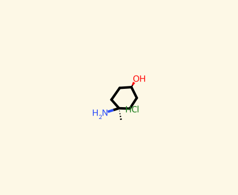 C[C@]1(N)CC[C@@H](O)CC1.Cl